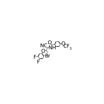 CC(Oc1cc(F)c(F)cc1Br)C(C#N)NC(=O)c1ccc(OC(F)(F)F)cc1